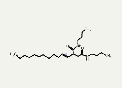 CCCCCCCCCC/C=C/C(CC(=O)NCCCC)C(=O)NCCCC